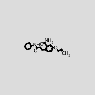 C=CCOc1ccc(C[CH]C(=O)NC2CCCCC2)c(C(N)=O)c1